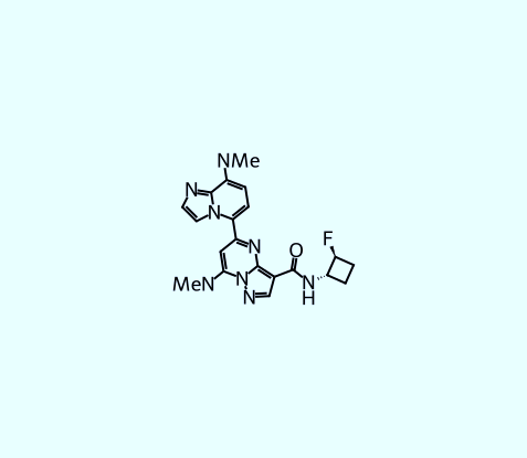 CNc1ccc(-c2cc(NC)n3ncc(C(=O)N[C@H]4CC[C@@H]4F)c3n2)n2ccnc12